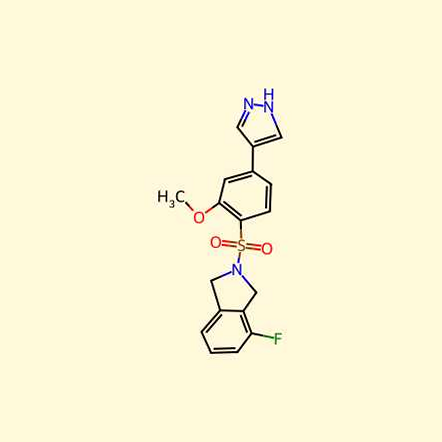 COc1cc(-c2cn[nH]c2)ccc1S(=O)(=O)N1Cc2cccc(F)c2C1